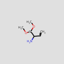 C=CC(N)[Si](OC)OC